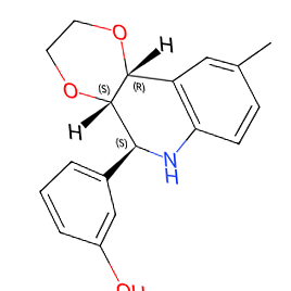 Cc1ccc2c(c1)[C@H]1OCCO[C@H]1[C@H](c1cccc(O)c1)N2